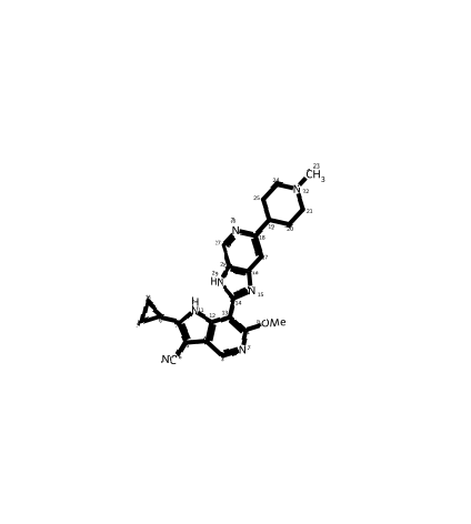 COc1ncc2c(C#N)c(C3CC3)[nH]c2c1-c1nc2cc(C3CCN(C)CC3)ncc2[nH]1